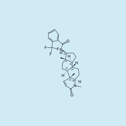 CN1C(=O)C=C[C@]2(C)[C@H]3CC[C@]4(C)[C@@H](NC(=O)c5ccccc5C(F)(F)F)CC[C@H]4[C@@H]3CC[C@@H]12